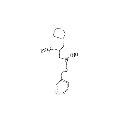 CCOC(=O)C(CC1CCCC1)CN(C=O)OCc1ccccc1